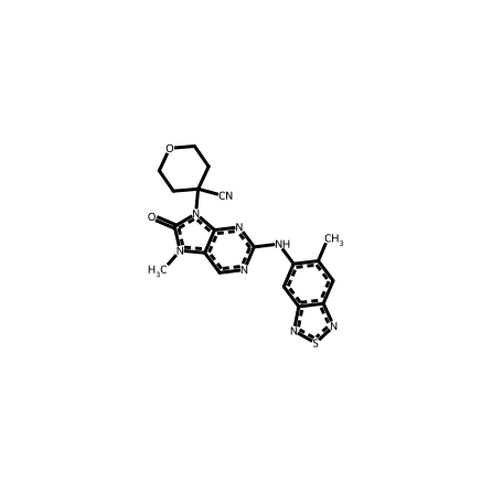 Cc1cc2nsnc2cc1Nc1ncc2c(n1)n(C1(C#N)CCOCC1)c(=O)n2C